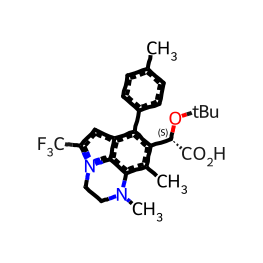 Cc1ccc(-c2c([C@H](OC(C)(C)C)C(=O)O)c(C)c3c4c2cc(C(F)(F)F)n4CCN3C)cc1